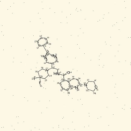 O=C(NCC(c1cnc(-c2ccccc2)nc1)N1CCC(F)(F)CC1)c1cccc2nc(N3CCOCC3)ccc12